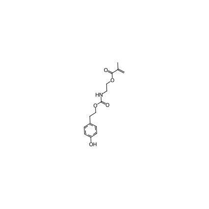 C=C(C)C(=O)OCCNC(=O)OCCc1ccc(O)cc1